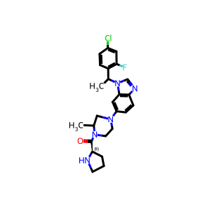 CC1CN(c2ccc3ncn(C(C)c4ccc(Cl)cc4F)c3c2)CCN1C(=O)[C@H]1CCCN1